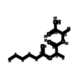 CCCCCC(=O)OC(C)C(=O)OC(C)C(=O)O